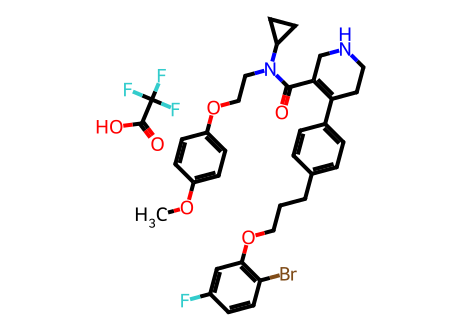 COc1ccc(OCCN(C(=O)C2=C(c3ccc(CCCOc4cc(F)ccc4Br)cc3)CCNC2)C2CC2)cc1.O=C(O)C(F)(F)F